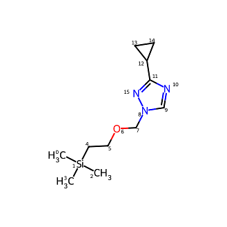 C[Si](C)(C)CCOCn1cnc(C2CC2)n1